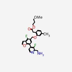 COCCCOC(=O)Cc1ccc(C)cc1OCc1cc(-c2ccnc(CN)c2F)c2occc2c1F